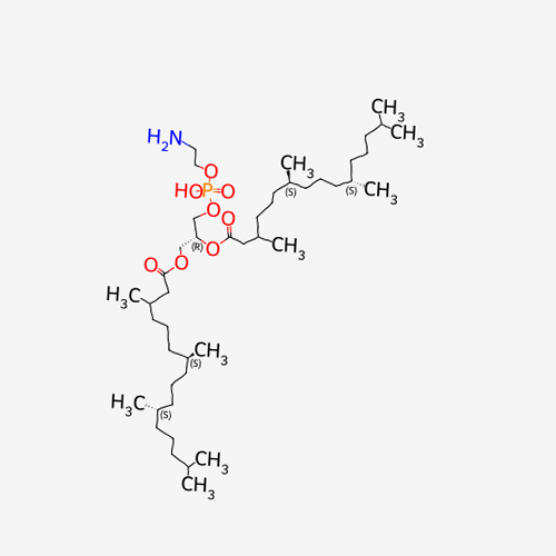 CC(C)CCC[C@H](C)CCC[C@H](C)CCCC(C)CC(=O)OC[C@H](COP(=O)(O)OCCN)OC(=O)CC(C)CCC[C@@H](C)CCC[C@@H](C)CCCC(C)C